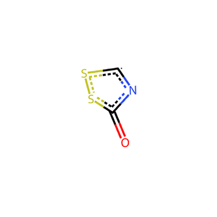 O=c1n[c]ss1